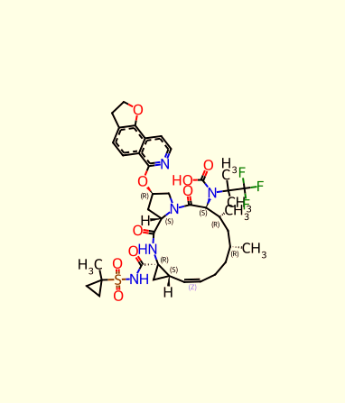 C[C@@H]1CC/C=C\[C@@H]2C[C@@]2(C(=O)NS(=O)(=O)C2(C)CC2)NC(=O)[C@@H]2C[C@@H](Oc3nccc4c5c(ccc34)CCO5)CN2C(=O)[C@@H](N(C(=O)O)C(C)(C)C(F)(F)F)[C@H](C)C1